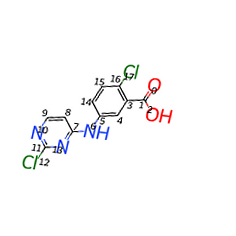 O=C(O)c1cc(Nc2ccnc(Cl)n2)ccc1Cl